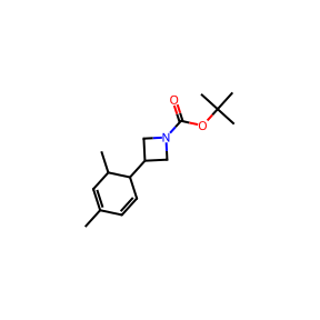 CC1=CC(C)C(C2CN(C(=O)OC(C)(C)C)C2)C=C1